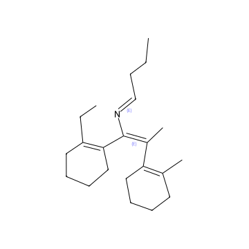 CCC/C=N/C(C1=C(CC)CCCC1)=C(\C)C1=C(C)CCCC1